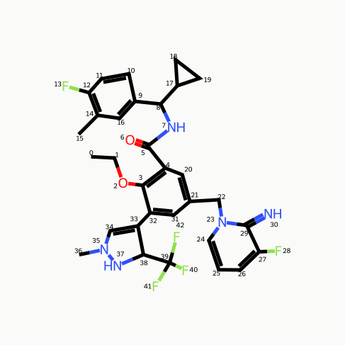 CCOc1c(C(=O)NC(c2ccc(F)c(C)c2)C2CC2)cc(Cn2cccc(F)c2=N)cc1C1=CN(C)NC1C(F)(F)F